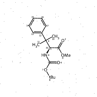 COC(=O)[C@@H](NC(=O)OC(C)(C)C)C(C)(C)c1ccccc1